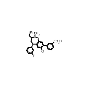 CC(C)CC1CN(c2cccc(F)c2)c2cc(Cl)c(-c3cccc(C(=O)O)c3)cc2SN1C